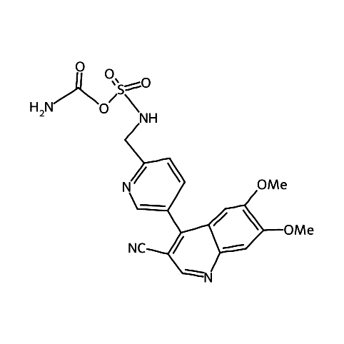 COc1cc2ncc(C#N)c(-c3ccc(CNS(=O)(=O)OC(N)=O)nc3)c2cc1OC